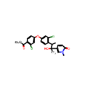 COC(=O)c1ccc(Oc2ccc(C(C)C(O)(c3ccc(=O)n(C)c3)C(F)(F)F)c(Cl)c2)cc1Cl